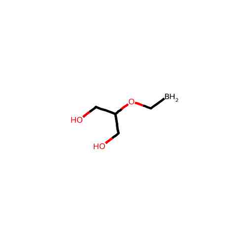 BCOC(CO)CO